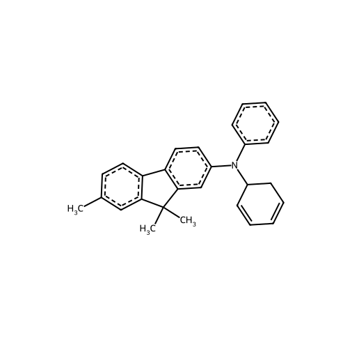 Cc1ccc2c(c1)C(C)(C)c1cc(N(c3ccccc3)C3C=CC=CC3)ccc1-2